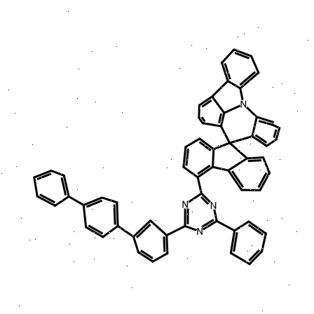 c1ccc(-c2ccc(-c3cccc(-c4nc(-c5ccccc5)nc(-c5cccc6c5-c5ccccc5C65c6ccccc6-n6c7ccccc7c7cccc5c76)n4)c3)cc2)cc1